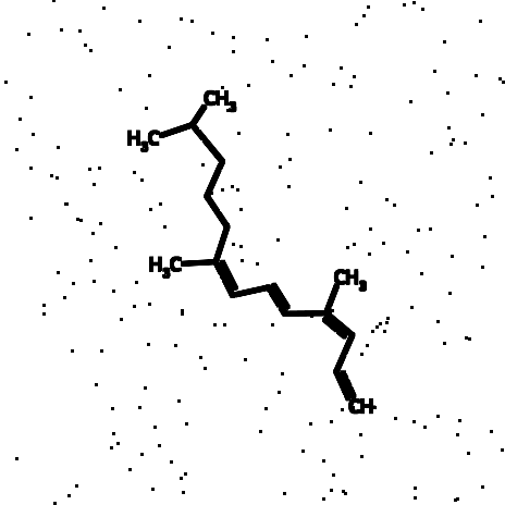 [CH]=CC=C(C)C=CC=C(C)CCCC(C)C